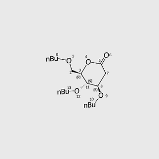 CCCCOC[C@H]1OC(=O)C[C@@H](OCCCC)[C@@H]1OCCCC